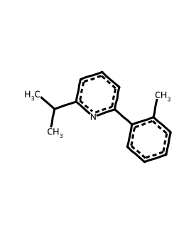 Cc1ccccc1-c1cccc(C(C)C)n1